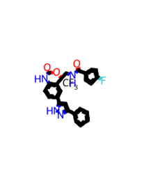 O=C1Nc2ccc(-c3cc(-c4ccccc4)n[nH]3)cc2C(CNC(=O)c2ccc(F)cc2)(C(F)(F)F)O1